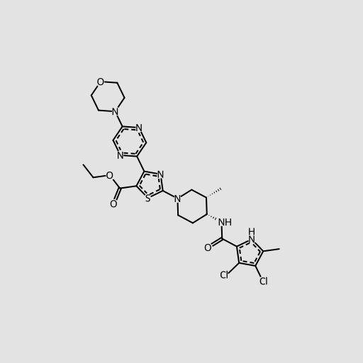 CCOC(=O)c1sc(N2CC[C@@H](NC(=O)c3[nH]c(C)c(Cl)c3Cl)[C@@H](C)C2)nc1-c1cnc(N2CCOCC2)cn1